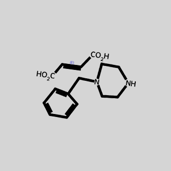 O=C(O)/C=C/C(=O)O.c1ccc(CN2CCNCC2)cc1